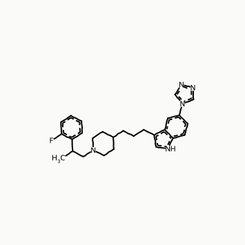 CC(CN1CCC(CCCc2c[nH]c3ccc(-n4cnnc4)cc23)CC1)c1ccccc1F